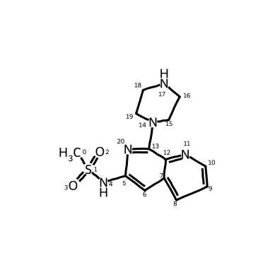 CS(=O)(=O)Nc1cc2cccnc2c(N2CCNCC2)n1